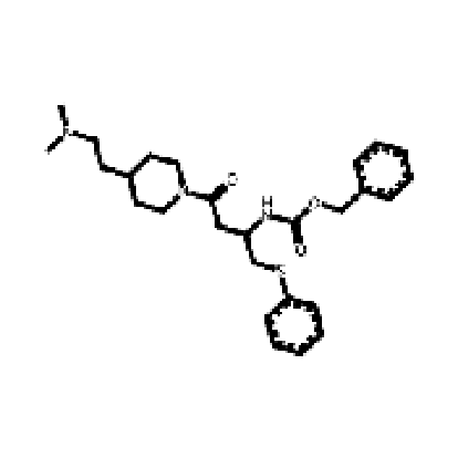 CN(C)CCC1CCN(C(=O)CC(CSc2ccccc2)NC(=O)OCc2ccccc2)CC1